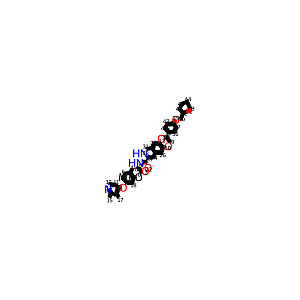 COC(=O)[C@H](Cc1ccc(Oc2ccnc(C)c2C)cc1)NC(=O)[C@@H]1Cc2cc3c(cc2CN1)O[C@@H](c1ccc(OCC2CCCCC2)cc1)CO3